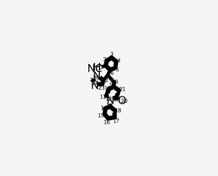 N#Cc1ccccc1C(Cc1ccn(-c2ccccc2)c(=O)c1)c1cnc[nH]1